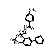 Cc1ccc(C(=O)NC[C@@]2(C)OC(=O)Nc3ccc(-c4ccccc4)cc32)cc1